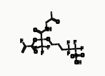 C=C(F)C(=O)OC(OCCCC(F)(F)C(F)(F)S(=O)(=O)O)(C(=O)NCC(C)=O)C(F)(F)F